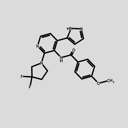 COc1ccc(C(=O)Nc2c(-c3ccn[nH]3)ccnc2N2CCC(F)(F)C2)cc1